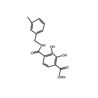 COC(=O)c1ccc(C(=O)NCc2cccc(C)c2)c(O)c1O